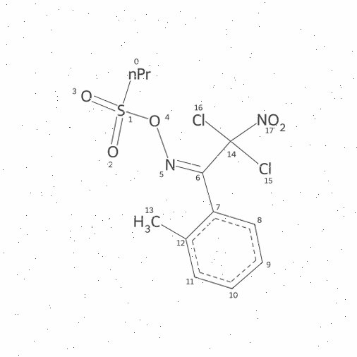 CCCS(=O)(=O)ON=C(c1ccccc1C)C(Cl)(Cl)[N+](=O)[O-]